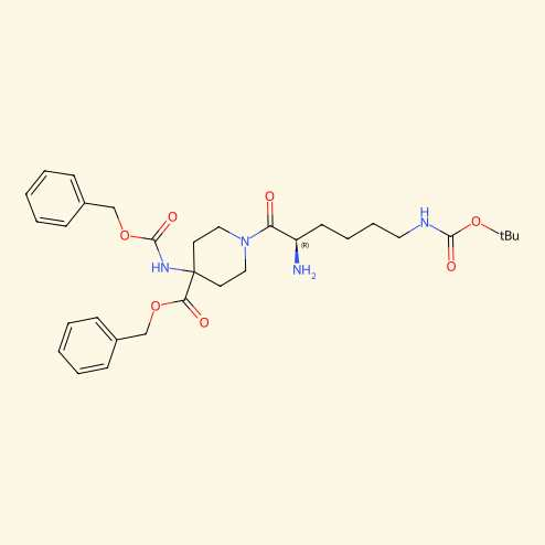 CC(C)(C)OC(=O)NCCCC[C@@H](N)C(=O)N1CCC(NC(=O)OCc2ccccc2)(C(=O)OCc2ccccc2)CC1